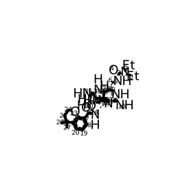 CCN(CC)C(=O)NC[C@@H]1NC(=N)N2C[C@H](NC(=O)c3cccc4c3OCCC4(C)C)C(O)(O)[C@@]23NC(=N)N[C@@H]13